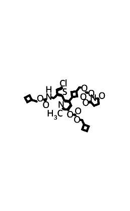 Cc1nc(-c2sc(Cl)cc2CNC(=O)OCC2CCC2)c(C2CC(COC(=O)ON3C(=O)CCC3=O)C2)cc1OC(=O)OCC1CCC1